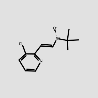 CC(C)(C)[S@@+]([O-])/C=C/c1ncccc1Cl